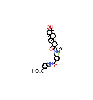 CCCC1(C(=O)NCc2cc(C(=O)NCc3cccc(C(=O)O)c3)ccc2F)CC[C@]2(C)C(CCC3C4(C)CCC(O)C(C)(C)C4CCC32C)C1C